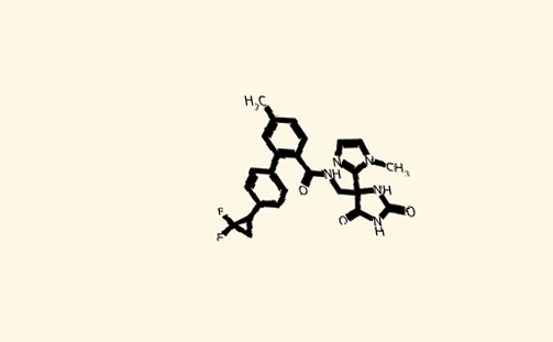 Cc1ccc(C(=O)NCC2(c3nccn3C)NC(=O)NC2=O)c(-c2ccc(C3CC3(F)F)cc2)c1